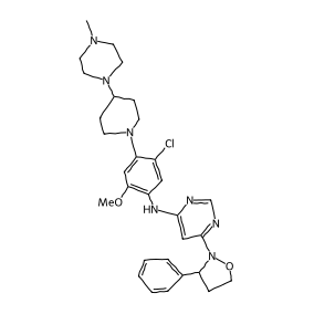 COc1cc(N2CCC(N3CCN(C)CC3)CC2)c(Cl)cc1Nc1cc(N2OCCC2c2ccccc2)ncn1